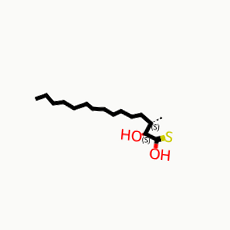 CCCCCCCCCCCC[C@H](C)[C@H](O)C(O)=S